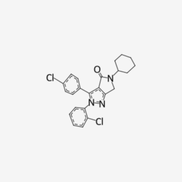 O=C1c2c(nn(-c3ccccc3Cl)c2-c2ccc(Cl)cc2)CN1C1CCCCC1